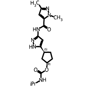 Cc1cc(C(=O)Nc2cc([C@H]3CC[C@@H](OC(=O)NC(C)C)C3)[nH]n2)n(C)n1